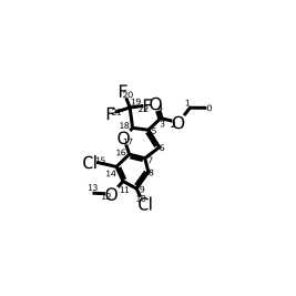 CCOC(=O)C1=Cc2cc(Cl)c(OC)c(Cl)c2OC1C(F)(F)F